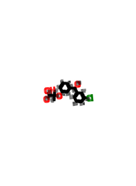 CC(C)(Oc1cccc(C(=O)c2cccc(Cl)c2)c1)C(=O)O